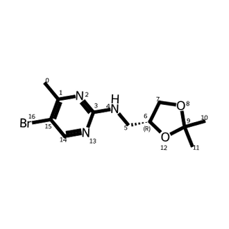 Cc1nc(NC[C@@H]2COC(C)(C)O2)ncc1Br